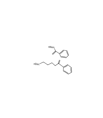 C=C(CCCCCCCCC)c1ccccc1.C=C(CCCCCCCCCCCCCC)c1ccccc1